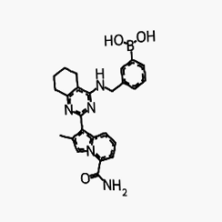 Cc1cn2c(C(N)=O)cccc2c1-c1nc2c(c(NCc3cccc(B(O)O)c3)n1)CCCC2